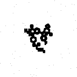 NCC(=O)O[C@H]1CC[C@H](Nc2cc(-c3c4n(c5cc(F)ccc35)C(=O)CC3(CCC3)C4)ccc2C(N)=O)CC1